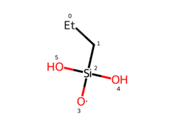 [CH2]CC[Si]([O])(O)O